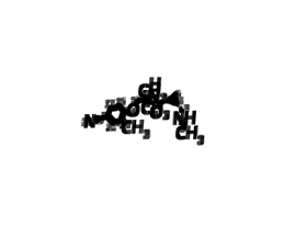 CCNC[C@H]1C[C@@H]1C(=O)NC(C)(C)COc1ccc(C#N)cc1C